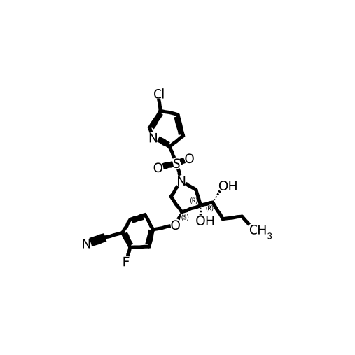 CCC[C@@H](O)[C@]1(O)CN(S(=O)(=O)c2ccc(Cl)cn2)C[C@@H]1Oc1ccc(C#N)c(F)c1